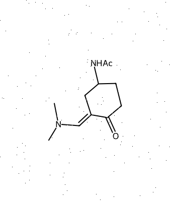 CC(=O)NC1CCC(=O)C(=CN(C)C)C1